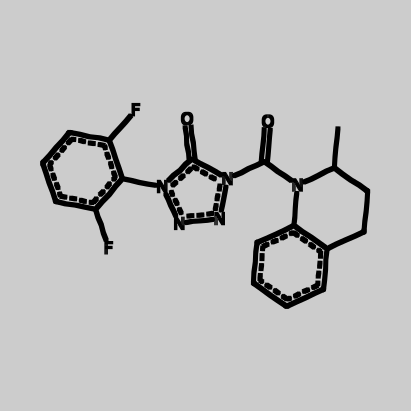 CC1CCc2ccccc2N1C(=O)n1nnn(-c2c(F)cccc2F)c1=O